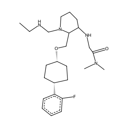 CCNCN1CCCC(NCC(=O)N(C)C)C1CO[C@H]1CC[C@@H](c2ccccc2F)CC1